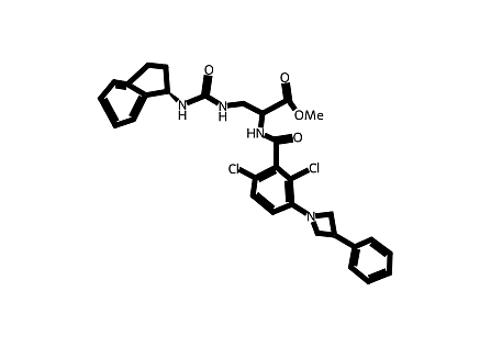 COC(=O)C(CNC(=O)N[C@@H]1CCc2ccccc21)NC(=O)c1c(Cl)ccc(N2CC(c3ccccc3)C2)c1Cl